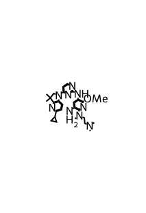 COc1nc(N(C)CCN(C)C)c(N)cc1Nc1nccc(N2CC(C)(C)c3nc(C4CC4)ccc32)n1